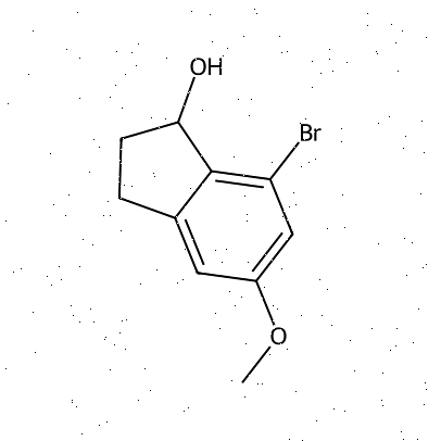 COc1cc(Br)c2c(c1)CCC2O